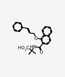 CC(C)(NC(=O)c1ccc2ccccc2c1OCC=Cc1ccccc1)C(=O)O